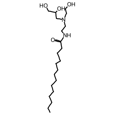 CCCCCCCCCCCCCC(=O)NCCN(CCO)CC(O)CO